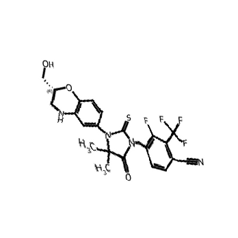 CC1(C)C(=O)N(c2ccc(C#N)c(C(F)(F)F)c2F)C(=S)N1c1ccc2c(c1)NC[C@H](CO)O2